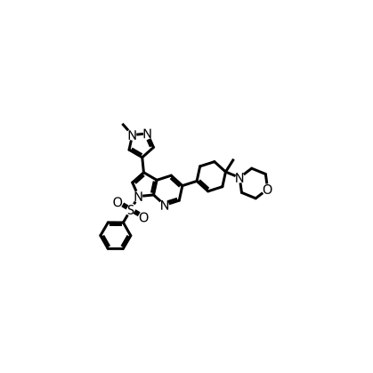 Cn1cc(-c2cn(S(=O)(=O)c3ccccc3)c3ncc(C4=CCC(C)(N5CCOCC5)CC4)cc23)cn1